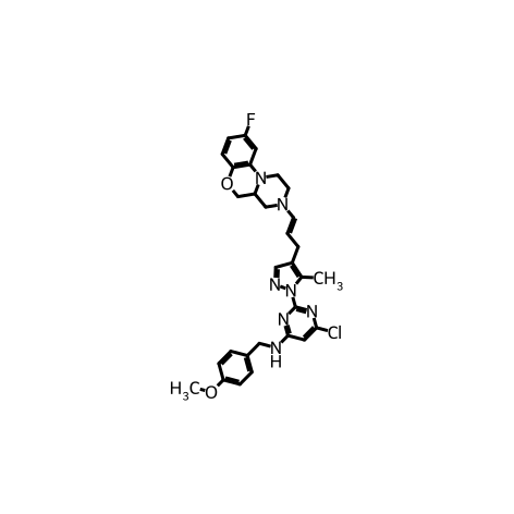 COc1ccc(CNc2cc(Cl)nc(-n3ncc(CC=CN4CCN5c6cc(F)ccc6OCC5C4)c3C)n2)cc1